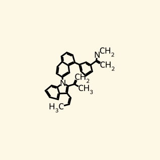 C=NC(=C)c1cccc(-c2cccc3ccc(-n4c(C(=C)C)c(/C=C\C)c5ccccc54)cc23)c1